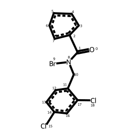 O=C(c1ccccc1)N(Br)Cc1ccc(Cl)cc1Cl